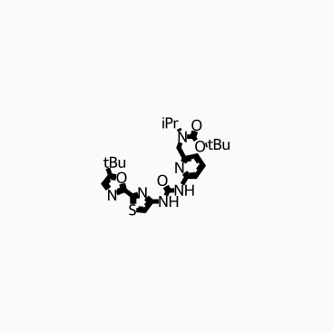 CC(C)N(Cc1cccc(NC(=O)Nc2csc(-c3ncc(C(C)(C)C)o3)n2)n1)C(=O)OC(C)(C)C